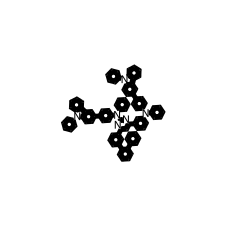 c1ccc(-c2ccccc2-c2cccc(-c3cc(-c4cccc(N(c5ccccc5)c5ccc(-c6ccc7c(c6)c6ccccc6n7-c6ccccc6)cc5)c4)nc(N(c4ccccc4)c4ccc(-c5ccc6c(c5)c5ccccc5n6-c5ccccc5)cc4)n3)c2)cc1